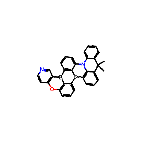 CC1(C)c2ccccc2N2c3cccc4c3B(c3cccc5c3B4c3cnccc3O5)c3cccc1c32